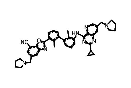 Cc1c(Nc2nc(C3CC3)nc3cc(CN4CCCC4)cnc23)cccc1-c1cccc(-c2nc3cc(CN4CCCC4)cc(C#N)c3o2)c1C